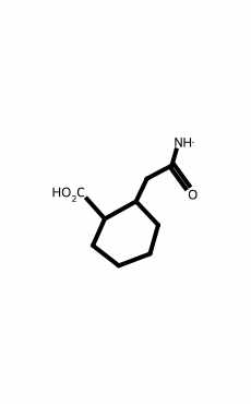 [NH]C(=O)CC1CCCCC1C(=O)O